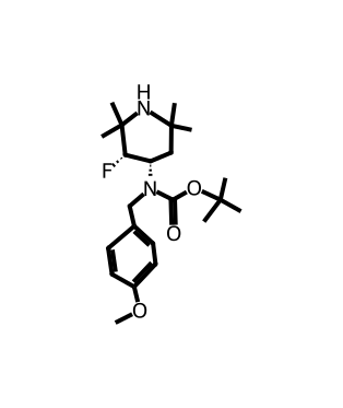 COc1ccc(CN(C(=O)OC(C)(C)C)[C@H]2CC(C)(C)NC(C)(C)[C@H]2F)cc1